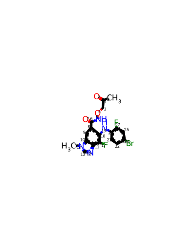 CC(=O)CONC(=O)c1cc2c(ncn2C)c(F)c1Nc1ccc(Br)cc1F